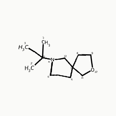 CC(C)(C)N1CCC2(CCOC2)C1